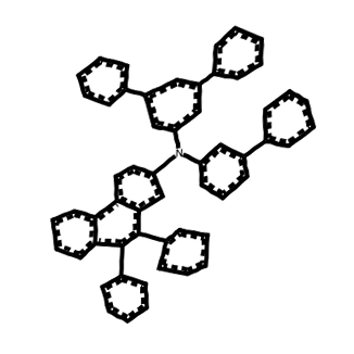 c1ccc(-c2cccc(N(c3cc(-c4ccccc4)cc(-c4ccccc4)c3)c3ccc4c(c3)c(-c3ccccc3)c(-c3ccccc3)c3ccccc34)c2)cc1